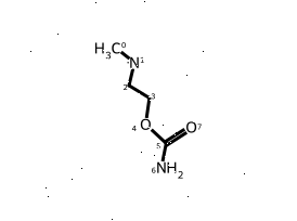 C[N]CCOC(N)=O